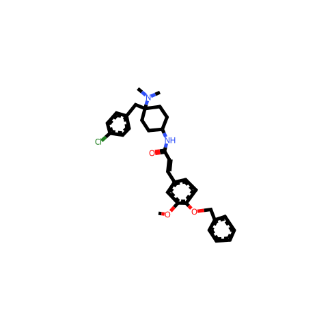 COc1cc(/C=C/C(=O)NC2CCC(Cc3ccc(Cl)cc3)(N(C)C)CC2)ccc1OCc1ccccc1